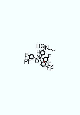 CCCCN(C)C(O)c1ccc([C@@](Cc2ccccc2)(NC(=O)c2ccc(F)c(C(F)(F)F)c2)c2cc(F)cc(OC(F)(F)C(C)F)c2)cc1